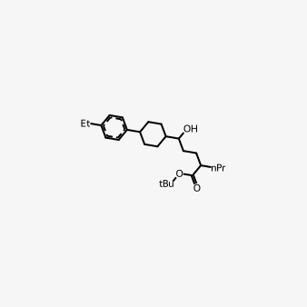 CCCC(CCC(O)C1CCC(c2ccc(CC)cc2)CC1)C(=O)OC(C)(C)C